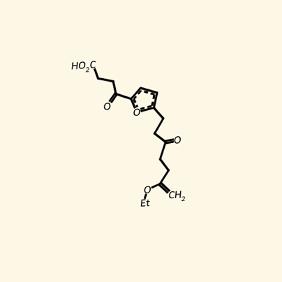 C=C(CCC(=O)CCc1ccc(C(=O)CCC(=O)O)o1)OCC